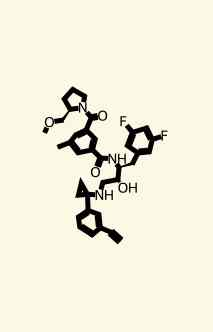 C#Cc1cccc(C2(NC[C@H](O)[C@H](Cc3cc(F)cc(F)c3)NC(=O)c3cc(C)cc(C(=O)N4CCC[C@@H]4COC)c3)CC2)c1